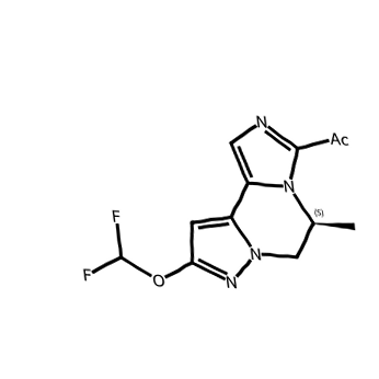 CC(=O)c1ncc2n1[C@@H](C)Cn1nc(OC(F)F)cc1-2